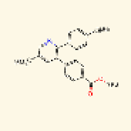 COc1ccc(-c2ncc(C(=O)O)cc2-c2ccc(C(=O)OC(C)(C)C)cc2)cc1